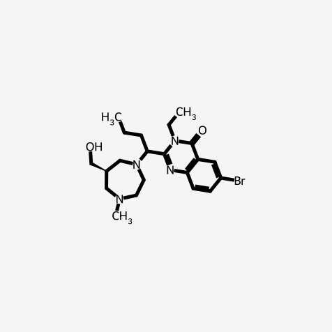 CCCC(c1nc2ccc(Br)cc2c(=O)n1CC)N1CCN(C)C[C@@H](CO)C1